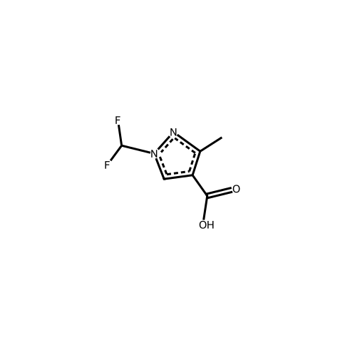 Cc1nn(C(F)F)cc1C(=O)O